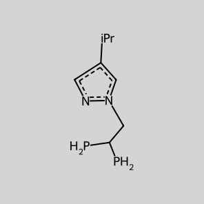 CC(C)c1cnn(CC(P)P)c1